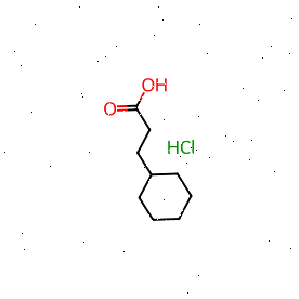 Cl.O=C(O)CCC1CCCCC1